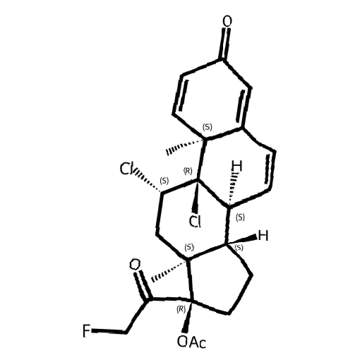 CC(=O)O[C@]1(C(=O)CF)CC[C@H]2[C@@H]3C=CC4=CC(=O)C=C[C@]4(C)[C@@]3(Cl)[C@@H](Cl)C[C@@]21C